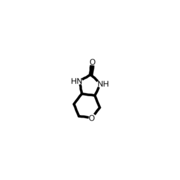 O=C1NC2CCOCC2N1